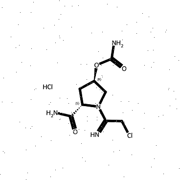 Cl.N=C(CCl)N1C[C@H](OC(N)=O)C[C@H]1C(N)=O